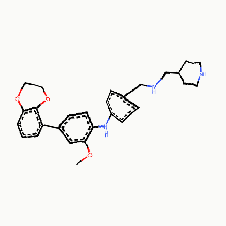 COc1cc(-c2cccc3c2OCCO3)ccc1Nc1ccc(CNCC2CCNCC2)cc1